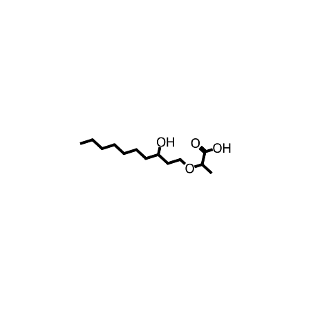 CCCCCCCC(O)CCOC(C)C(=O)O